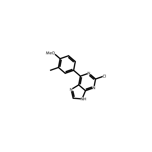 COc1ccc(-c2nc(Cl)nc3[nH]cnc23)cc1C